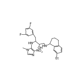 CCc1ccc2c(c1)C(NCC(O)C(Cc1cc(F)cc(F)c1)Nc1c([N+](=O)[O-])ncn1C)CCC2